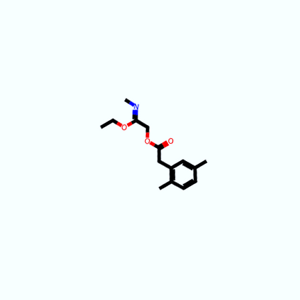 CCO/C(COC(=O)Cc1cc(C)ccc1C)=N\C